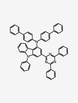 c1ccc(-c2ccc(N(c3ccc(-c4ccccc4)cc3)c3cc(-c4nc(-c5ccccc5)nc(-c5ccccc5)n4)cc4c3c3ccccc3n4-c3ccccc3)cc2)cc1